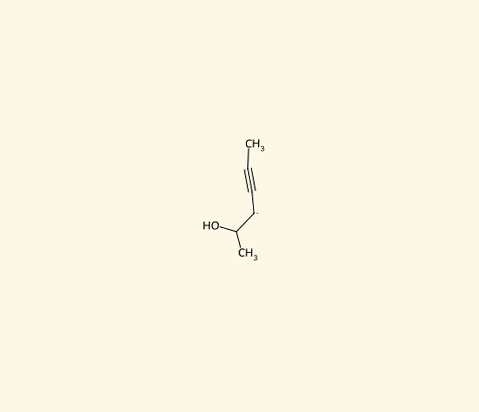 CC#C[CH]C(C)O